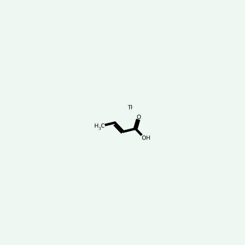 CC=CC(=O)O.[Tl]